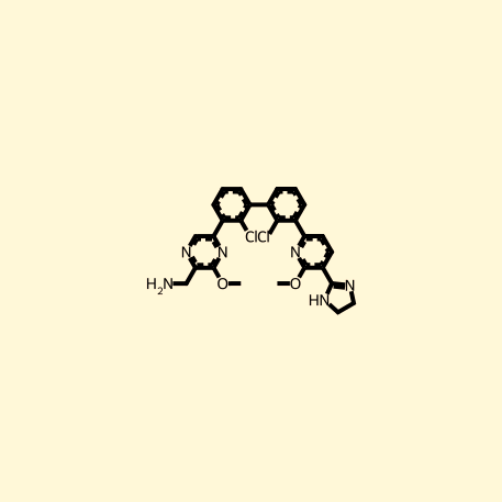 COc1nc(-c2cccc(-c3cccc(-c4cnc(CN)c(OC)n4)c3Cl)c2Cl)ccc1C1=NCCN1